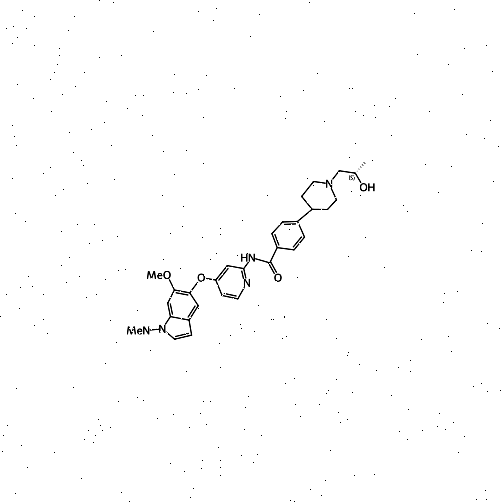 CNn1ccc2cc(Oc3ccnc(NC(=O)c4ccc(C5CCN(C[C@H](C)O)CC5)cc4)c3)c(OC)cc21